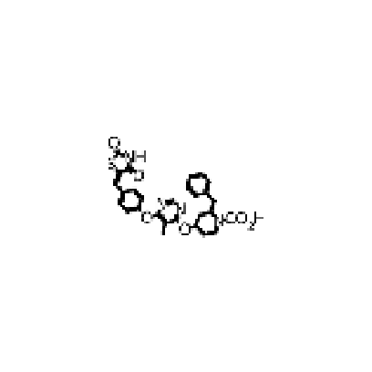 Cc1c(Oc2ccc(C=C3SC(=O)NC3=O)cc2)ncnc1OC1CCN(C(=O)O)C(Cc2ccccc2)C1